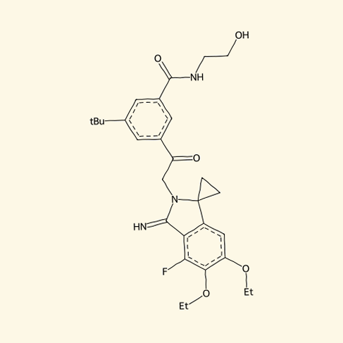 CCOc1cc2c(c(F)c1OCC)C(=N)N(CC(=O)c1cc(C(=O)NCCO)cc(C(C)(C)C)c1)C21CC1